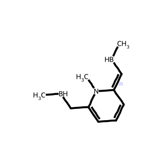 CB/C=C1/C=CC=C(CBC)N1C